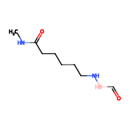 CNC(=O)CCCCCNBC=O